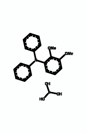 COc1cccc(N(c2ccccc2)c2ccccc2)c1OC.OB(O)O